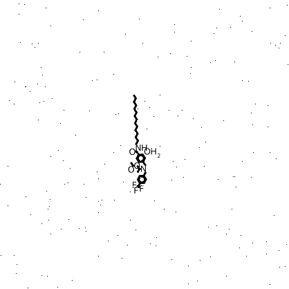 CCCCCCCCCCCCCCCNC(=O)c1ccc(CN(Cc2ccc(C(F)(F)F)cc2)C(C)OC(C)=O)cc1.O